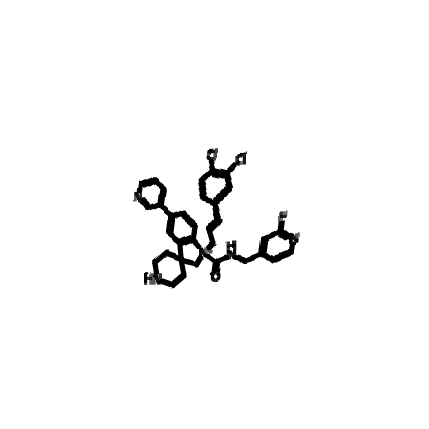 O=C(NCc1ccnc(F)c1)[N+]1(C/C=C/c2ccc(Cl)c(Cl)c2)CC2(CCNCC2)c2cc(-c3cccnc3)ccc21